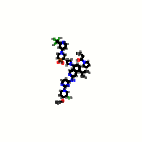 C=CC(=O)N1CCC[C@@H]1c1cc(N2CC([C@H]3CN(c4ccnc(C(F)(F)F)c4)CCS3(=O)=O)C2)c2cnc(Nc3ccnc(N4CC[C@@H](OC)[C@@H](F)C4)n3)cc2c1C(C)C